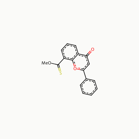 COC(=S)c1cccc2c(=O)cc(-c3ccccc3)oc12